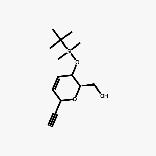 C#CC1C=CC(O[Si](C)(C)C(C)(C)C)[C@@H](CO)O1